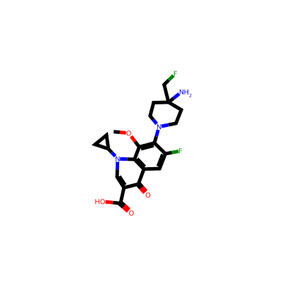 COc1c(N2CCC(N)(CF)CC2)c(F)cc2c(=O)c(C(=O)O)cn(C3CC3)c12